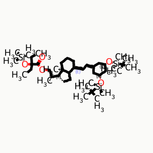 CCC(CC)(O[Si](C)(C)C)C(=O)OC[C@@H](C)[C@H]1CCC2/C(=C/C=C3C[C@@H](O[Si](C)(C)C(C)(C)C)C[C@H](O[Si](C)(C)C(C)(C)C)C3)CCC[C@@]21C